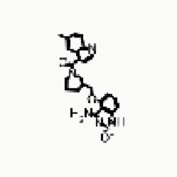 Cc1ccc2nccc(C(=O)N3CCCC(COc4cccc5c4C(N)=N[S+]([O-])N5)C3)c2c1